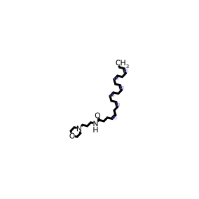 CC/C=C\C/C=C\C/C=C\C/C=C\C/C=C\C/C=C\CCC(=O)NCCCN1CCOCC1